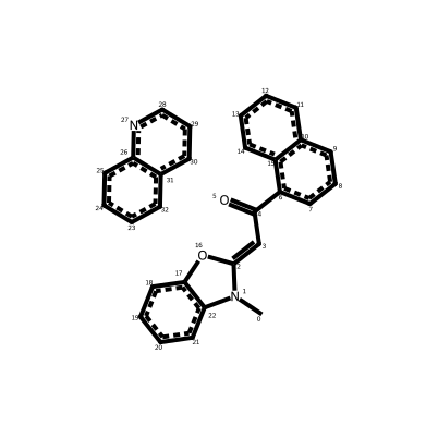 CN1C(=CC(=O)c2cccc3ccccc23)Oc2ccccc21.c1ccc2ncccc2c1